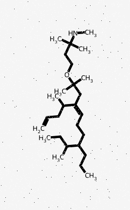 C=CCC(C)/C(=C\CCC(CCC)C(C)CC)CC(C)(C)OCCC(C)(C)NC